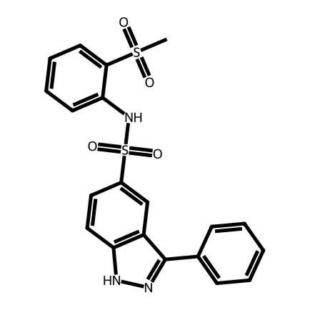 CS(=O)(=O)c1ccccc1NS(=O)(=O)c1ccc2[nH]nc(-c3ccccc3)c2c1